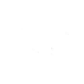 O=C(NCc1ccccc1Cl)c1ccn(C(=O)OCc2ccccc2Cl)n1